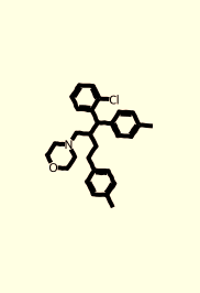 Cc1ccc(CCC(CN2CCOCC2)[C](c2ccc(C)cc2)c2ccccc2Cl)cc1